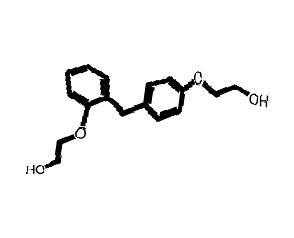 OCCOc1ccc(Cc2ccccc2OCCO)cc1